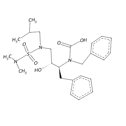 CC(C)CN(C[C@@H](O)[C@H](Cc1ccccc1)N(Cc1ccccc1)C(=O)O)S(=O)(=O)N(C)C